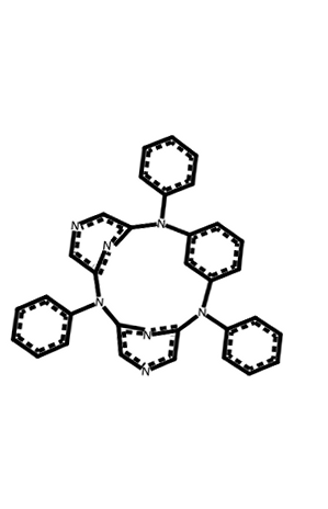 c1ccc(N2c3cccc(c3)N(c3ccccc3)c3cncc(n3)N(c3ccccc3)c3cncc2n3)cc1